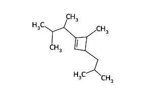 CC(C)CC1C=C(C(C)C(C)C)C1C